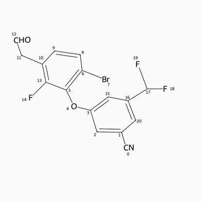 N#Cc1cc(Oc2c(Br)ccc(CC=O)c2F)cc(C(F)F)c1